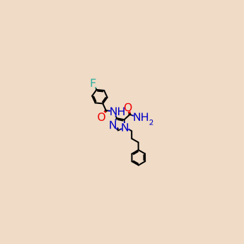 NC(=O)c1c(NC(=O)c2ccc(F)cc2)ncn1CCCc1ccccc1